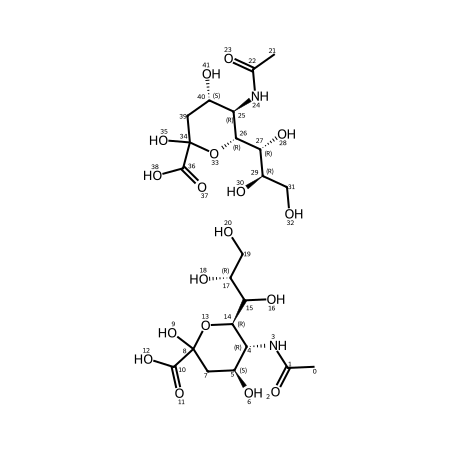 CC(=O)N[C@@H]1[C@@H](O)CC(O)(C(=O)O)O[C@H]1C(O)[C@H](O)CO.CC(=O)N[C@H]1[C@H]([C@H](O)[C@H](O)CO)OC(O)(C(=O)O)C[C@@H]1O